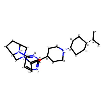 C=C(C)N1CC2CCC(C1)N2c1ccnc(C2CCN([C@H]3CC[C@@H](C(C)C)CC3)CC2)n1